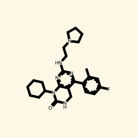 Cc1cc(F)ccc1-c1nc(NCCN2CCCC2)nc2c1CNC(=O)N2C1CCCCC1